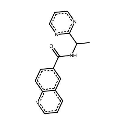 CC(NC(=O)c1ccc2ncccc2c1)c1ncccn1